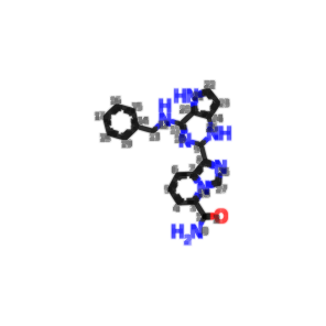 NC(=O)c1cccc2c(C3N=C(NCc4ccccc4)c4[nH]ccc4N3)ncn12